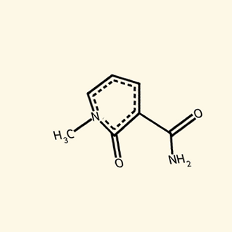 Cn1cccc(C(N)=O)c1=O